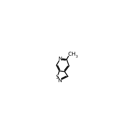 Cc1cc2cnsc2cn1